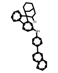 CCC1CC2CCCC(C2)C12c1ccccc1-c1ccc(Nc3ccc(-c4ccc5ccccc5c4)cc3)cc12